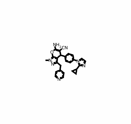 Cn1nc(Cc2ccncc2)c2c1OC(N)=C(C#N)C2c1ccc(-n2ccnc2C2CC2)cc1